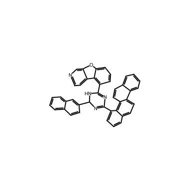 c1ccc2cc(C3N=C(c4cccc5ccc6c7ccccc7ccc6c45)N=C(c4cccc5oc6cnccc6c45)N3)ccc2c1